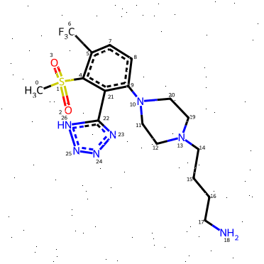 CS(=O)(=O)c1c(C(F)(F)F)ccc(N2CCN(CCCCN)CC2)c1-c1nnn[nH]1